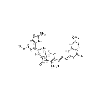 COc1ccc2c(=O)cc(SC=CC3=C(C(=O)O)N4C(=O)C(NC(=O)C(=NOCF)c5csc(N)n5)[C@@H]4SC3)sc2c1